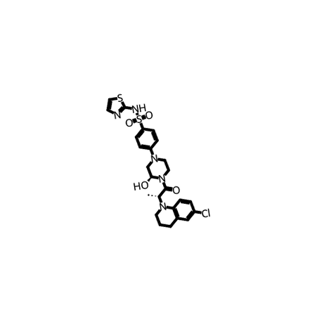 C[C@H](C(=O)N1CCN(c2ccc(S(=O)(=O)Nc3nccs3)cc2)C[C@@H]1O)N1CCCc2cc(Cl)ccc21